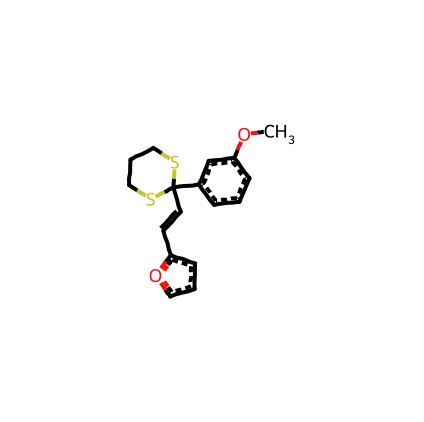 COc1cccc(C2(/C=C/c3ccco3)SCCCS2)c1